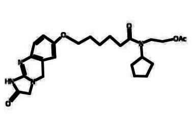 CC(=O)OCCN(C(=O)CCCCCOc1ccc2c(c1)CN1CC(=O)NC1=N2)C1CCCC1